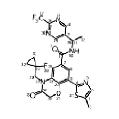 Cc1cnc(-c2cc(C(=O)N[C@H](C)c3cnc(C(F)(F)F)nc3)cc3c2OCC(=O)N3CC2(F)CC2)s1